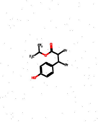 CC(C)C(C(=O)OC(C(F)(F)F)C(F)(F)F)C(c1ccc(O)cc1)C(C)C